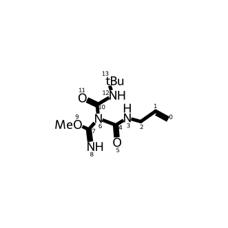 C=CCNC(=O)N(C(=N)OC)C(=O)NC(C)(C)C